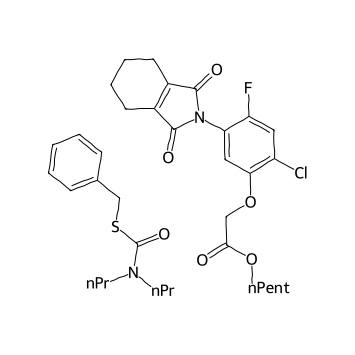 CCCCCOC(=O)COc1cc(N2C(=O)C3=C(CCCC3)C2=O)c(F)cc1Cl.CCCN(CCC)C(=O)SCc1ccccc1